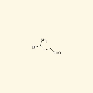 CCC(N)CCC=O